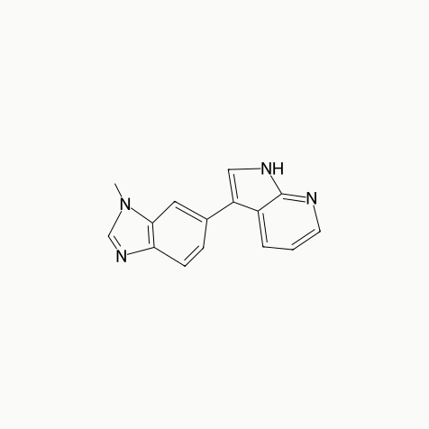 Cn1cnc2ccc(-c3c[nH]c4ncccc34)cc21